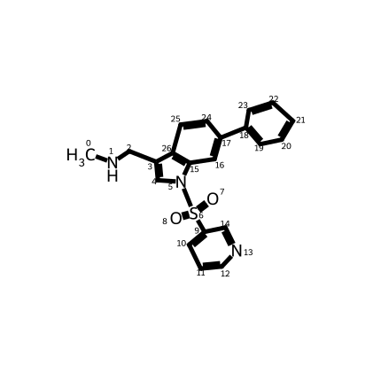 CNCc1cn(S(=O)(=O)c2cccnc2)c2cc(-c3ccccc3)ccc12